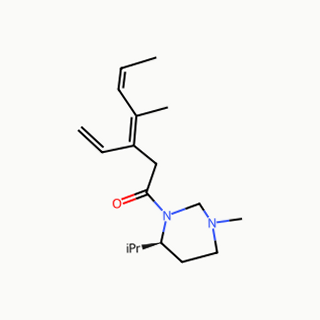 C=C/C(CC(=O)N1CN(C)CC[C@H]1C(C)C)=C(C)\C=C/C